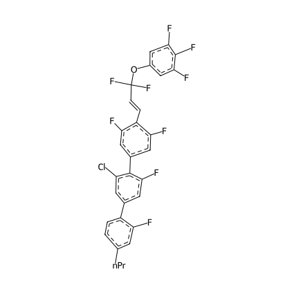 CCCc1ccc(-c2cc(F)c(-c3cc(F)c(/C=C/C(F)(F)Oc4cc(F)c(F)c(F)c4)c(F)c3)c(Cl)c2)c(F)c1